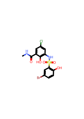 CNC(=O)c1cc(Cl)cc(NS(=O)(=O)c2cc(Br)ccc2O)c1O